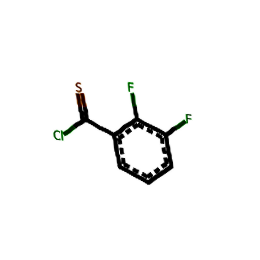 Fc1cccc(C(=S)Cl)c1F